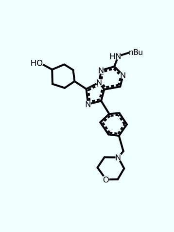 CCCCNc1ncc2c(-c3ccc(CN4CCOCC4)cc3)nc(C3CCC(O)CC3)n2n1